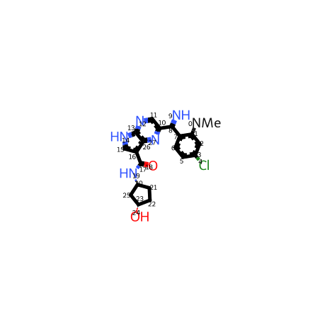 CNc1cc(Cl)ccc1C(=N)c1cnc2[nH]cc(C(=O)N[C@@H]3CC[C@H](O)C3)c2n1